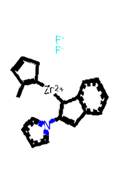 CC1=[C]([Zr+2][CH]2C(n3cccc3)=Cc3ccccc32)CC=C1.[F-].[F-]